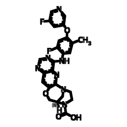 Cc1cc(Nc2ncnc3cc4c(nc23)N2CCN(C(=O)O)[C@H](CO4)C2)c(F)cc1Oc1cncc(F)c1